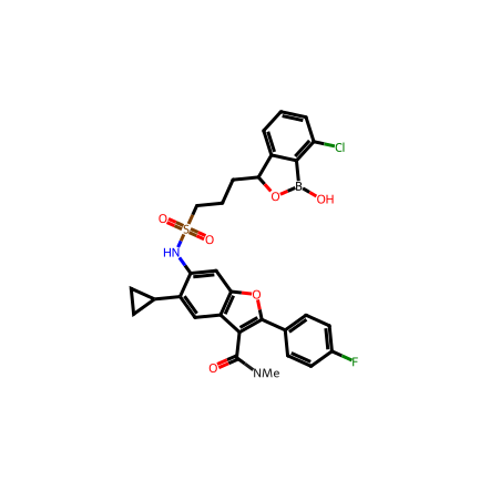 CNC(=O)c1c(-c2ccc(F)cc2)oc2cc(NS(=O)(=O)CCCC3OB(O)c4c(Cl)cccc43)c(C3CC3)cc12